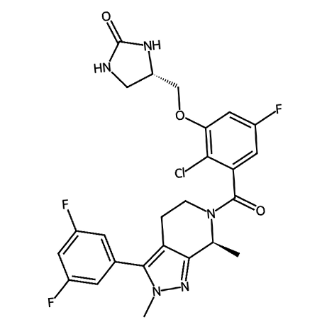 C[C@H]1c2nn(C)c(-c3cc(F)cc(F)c3)c2CCN1C(=O)c1cc(F)cc(OC[C@@H]2CNC(=O)N2)c1Cl